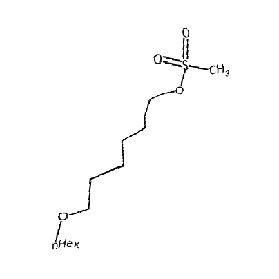 CCCCCCOCCCCCCOS(C)(=O)=O